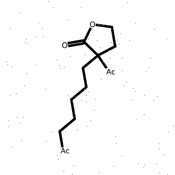 CC(=O)CCCCCC1(C(C)=O)CCOC1=O